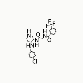 O=C(CNC(=O)c1cccc(C(F)(F)F)c1)NC1CNCCC1NCc1ccc(Cl)cc1